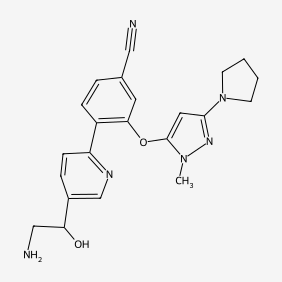 Cn1nc(N2CCCC2)cc1Oc1cc(C#N)ccc1-c1ccc(C(O)CN)cn1